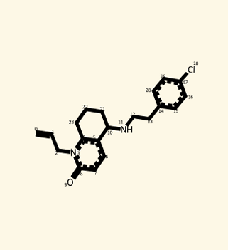 C=CCn1c2c(ccc1=O)C(NCCc1ccc(Cl)cc1)CCC2